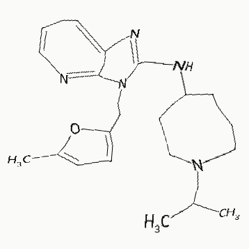 Cc1ccc(Cn2c(NC3CCCN(C(C)C)CC3)nc3cccnc32)o1